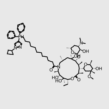 CC[C@H]1OC(=O)[C@H](C)[C@@H](C2C[C@@](C)(OC)[C@@H](O)[C@H](C)O2)[C@H](C)[C@@H](O[C@@H]2O[C@H](C)C[C@H](N(C)C)[C@H]2O)[C@](C)(O)C[C@@H](C)CN(C(=O)CCCCCCCCCCC[PH](c2ccccc2)(c2ccccc2)c2cnn(C3CCC3)c2)[C@H](C)[C@@H](O)[C@]1(C)O